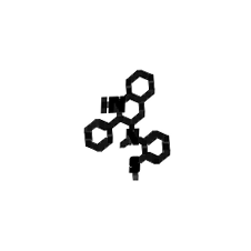 CSc1ccccc1N(C)C1CC2CCCCC2NC1c1ccccc1